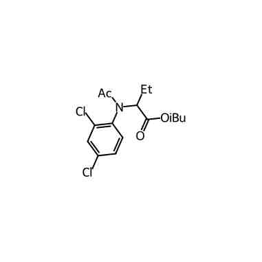 CCC(C(=O)OCC(C)C)N(C(C)=O)c1ccc(Cl)cc1Cl